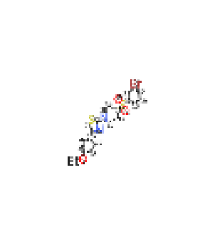 CCOc1ccc(-c2csc(N3CCC(S(=O)(=O)c4cccc(Br)c4)CC3)n2)cc1